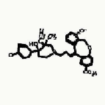 CC1(C)CN(CCC=C2c3cc(C(=O)O)ccc3OCc3c2ccc[n+]3[O-])CC[C@]1(O)C1C=CC(Cl)=CC1